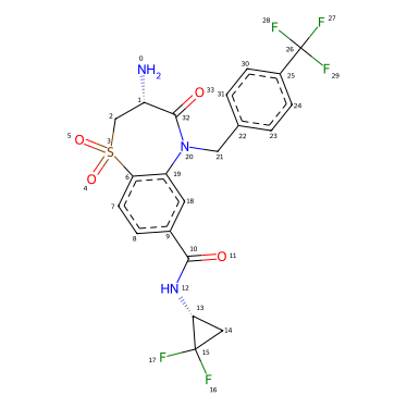 N[C@H]1CS(=O)(=O)c2ccc(C(=O)N[C@@H]3CC3(F)F)cc2N(Cc2ccc(C(F)(F)F)cc2)C1=O